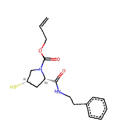 C=CCOC(=O)N1C[C@@H](S)C[C@H]1C(=O)NCCc1ccccc1